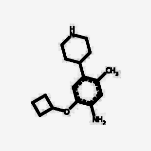 Cc1cc(N)c(OC2CCC2)cc1C1CCNCC1